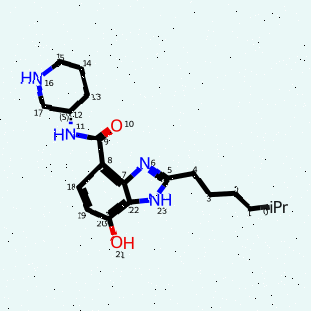 CC(C)CCCCc1nc2c(C(=O)N[C@H]3CCCNC3)ccc(O)c2[nH]1